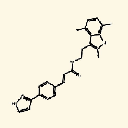 Cc1[nH]c2c(F)ccc(C)c2c1CCNC(=O)C=Cc1ccc(-c2cc[nH]n2)cc1